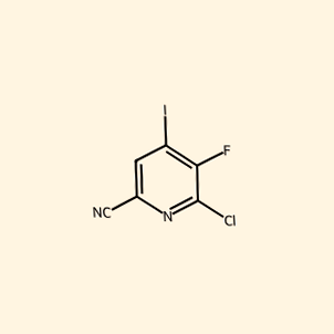 N#Cc1cc(I)c(F)c(Cl)n1